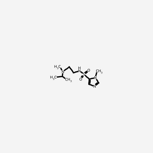 CC(C)N(C)CCNS(=O)(=O)c1cncn1C